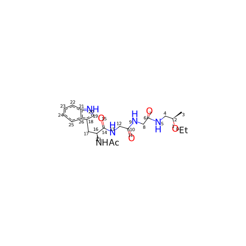 CCO[C@H](C)CNC(=O)CNC(=O)CNC(=O)[C@H](Cc1c[nH]c2ccccc12)NC(C)=O